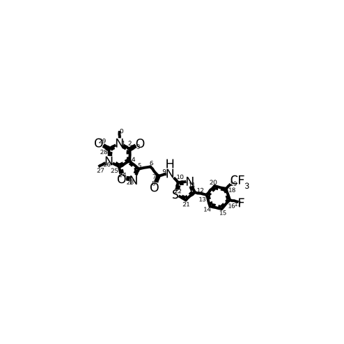 Cn1c(=O)c2c(CC(=O)Nc3nc(-c4ccc(F)c(C(F)(F)F)c4)cs3)noc2n(C)c1=O